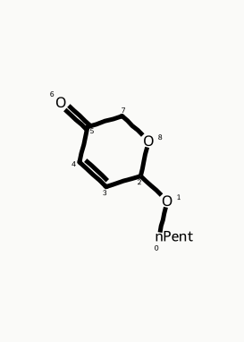 CCCCCOC1C=CC(=O)CO1